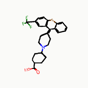 O=C(O)C1CCC(N2CCC(=C3c4ccccc4Sc4ccc(C(F)(F)F)cc43)CC2)CC1